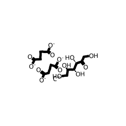 O=C(CO)[C@@H](O)[C@H](O)[C@H](O)CO.O=C([O-])CCC(=O)[O-].O=C([O-])CCC(=O)[O-].[C+4]